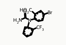 NC(=O)N(c1ccc(Br)cc1C(=O)O)c1ccccc1C(F)(F)F